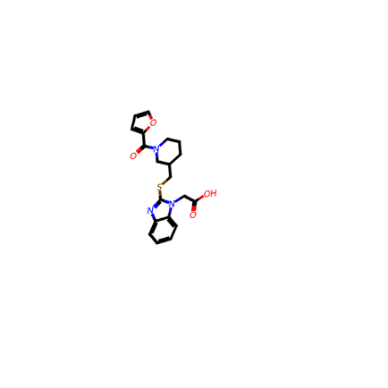 O=C(O)Cn1c(SCC2CCCN(C(=O)c3ccco3)C2)nc2ccccc21